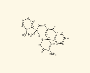 Cc1cccnc1C1(N)C=CC2=C(C1)C1(CCOC(N)=N1)c1ccncc1O2